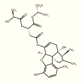 Cc1ccc(O)c2c1[C@]13CCN(C)[C@H](C)[C@]1(O)CC=C(OC(=O)C[C@H](CC(=O)[C@H](C)O)C(=O)O[C@@H](C)C(=O)O)[C@@H]3O2